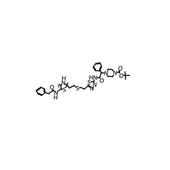 CC(C)(C)OC(=O)N1CCN(C(C(=O)Nc2nnc(CCSCCC3(C)NN=C(NC(=O)Cc4ccccc4)S3)s2)c2ccccc2)CC1